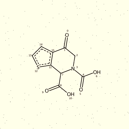 O=C1CN(C(=O)O)C(C(=O)O)c2sccc21